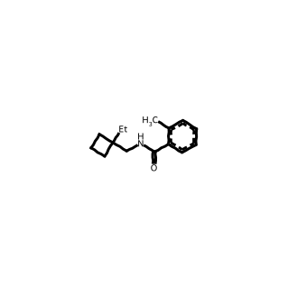 CCC1(CNC(=O)c2ccccc2C)CCC1